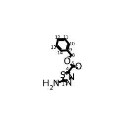 Nc1nnc(C(=O)OCc2ccccc2)s1